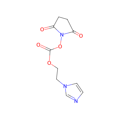 O=C(OCCn1ccnc1)ON1C(=O)CCC1=O